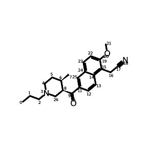 CCCN1CC[C@@H](C)[C@@H](C(=O)c2ccc3c(CC#N)c(OC)ccc3c2)C1